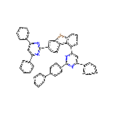 c1ccc(-c2ccc(-c3nc(-c4ccccc4)cc(-c4cccc5sc6cc(-c7nc(-c8ccccc8)cc(-c8ccccc8)n7)ccc6c45)n3)cc2)cc1